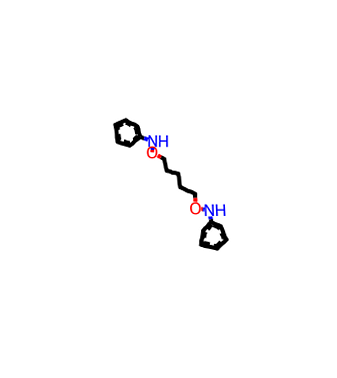 c1ccc(NOCCCCCONc2ccccc2)cc1